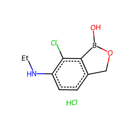 CCNc1ccc2c(c1Cl)B(O)OC2.Cl